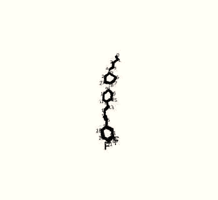 CCCCC[C@H]1CC[C@H](C2CCC(C=CC#Cc3ccc(F)c(F)c3)CC2)CC1